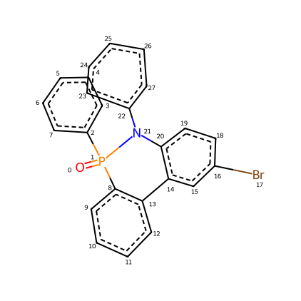 O=P1(c2ccccc2)c2ccccc2-c2cc(Br)ccc2N1c1ccccc1